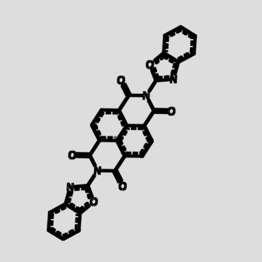 O=C1c2ccc3c4c(ccc(c24)C(=O)N1c1nc2ccccc2o1)C(=O)N(c1nc2ccccc2o1)C3=O